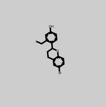 Oc1ccc(C2CCc3cc(Br)ccc3O2)c(CI)c1